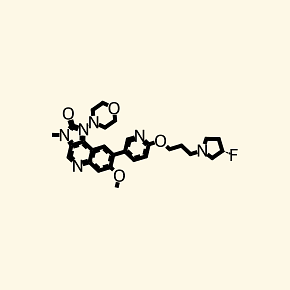 COc1cc2ncc3c(c2cc1-c1ccc(OCCCN2CC[C@H](F)C2)nc1)n(N1CCOCC1)c(=O)n3C